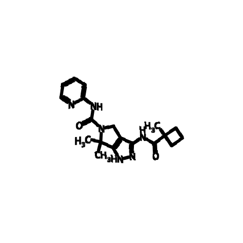 CC1(C(=O)Nc2n[nH]c3c2CN(C(=O)Nc2ccccn2)C3(C)C)CCC1